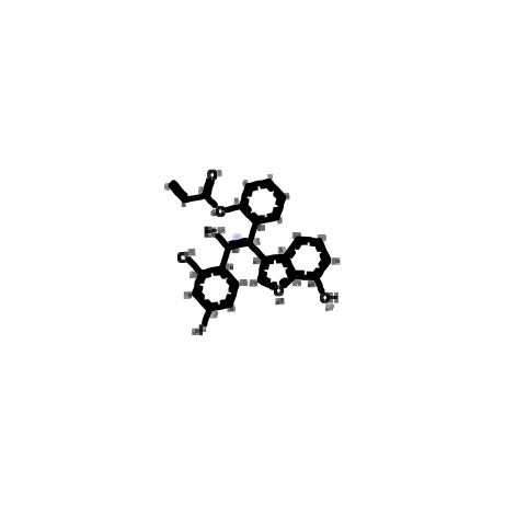 C=CC(=O)Oc1ccccc1/C(=C(\CC)c1ccc(F)cc1Cl)c1coc2c(O)cccc12